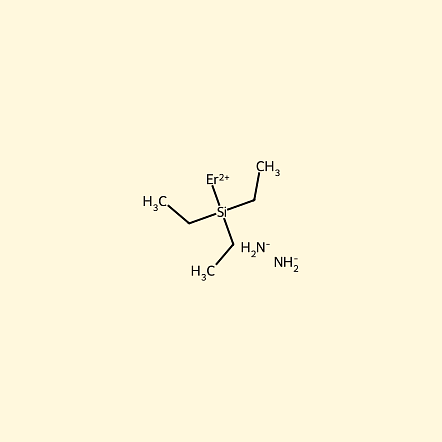 CC[Si]([Er+2])(CC)CC.[NH2-].[NH2-]